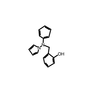 Oc1ccccc1CN(c1ccccc1)n1cccc1